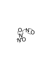 CN(C)C(=O)N1CCOC(CN2CCOCC2)C1